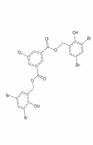 [O]c1cc(C(=O)OCc2cc(Br)cc(Br)c2O)cc(C(=O)OCc2cc(Br)cc(Br)c2O)c1